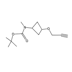 C#CCOC1CC(N(C)C(=O)OC(C)(C)C)C1